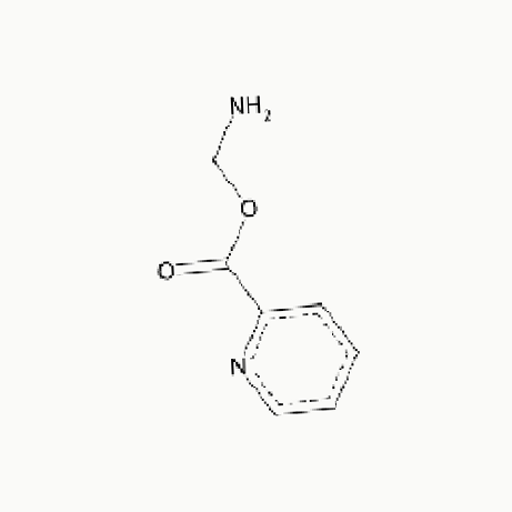 NCOC(=O)c1ccccn1